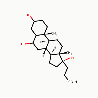 C[C@]12CCC(O)CC1C(O)C[C@@H]1[C@@H]2CC[C@@]2(C)[C@H]1CC[C@]2(O)CCC(=O)O